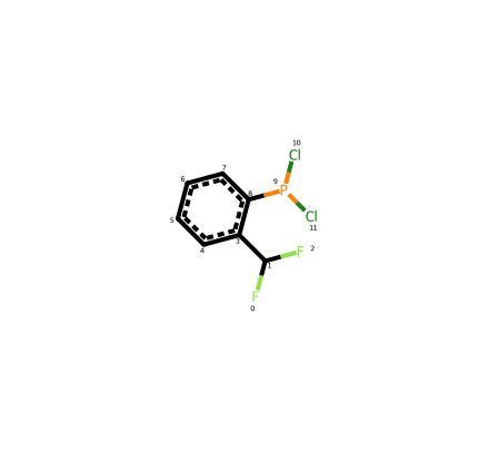 FC(F)c1ccccc1P(Cl)Cl